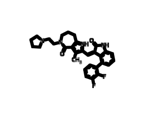 Cc1c(C=C2C(=O)Nc3cccc(-c4cccc(F)c4F)c32)[nH]c2c1C(=O)N(CCN1CCCC1)CCC2